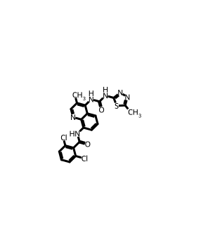 Cc1nnc(NC(=O)Nc2c(C)cnc3c(NC(=O)c4c(Cl)cccc4Cl)cccc23)s1